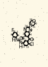 O=C(Nc1ccc(F)cc1)Nc1ccc(Cl)c(C(=O)c2ccc3ncc(N4CCOCC4)nc3c2)c1F